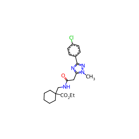 CCOC(=O)C1(CNC(=O)Cc2nc(-c3ccc(Cl)cc3)nn2C)CCCCC1